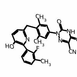 Cc1cccc(-c2nc(Cc3c(C)cc(-n4nc(C#N)c(=O)[nH]c4=O)cc3C)ccc2O)c1F